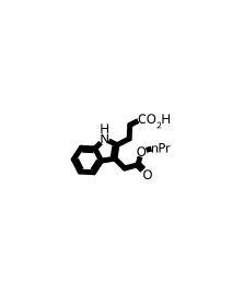 CCCOC(=O)Cc1c(CCC(=O)O)[nH]c2ccccc12